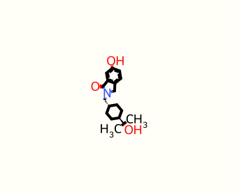 CC(C)(O)[C@H]1CC[C@H](CN2Cc3ccc(O)cc3C2=O)CC1